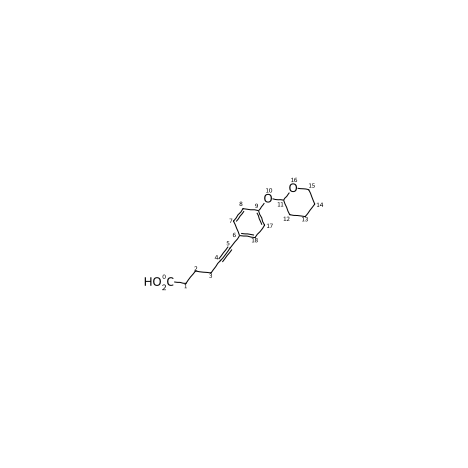 O=C(O)CCCC#Cc1ccc(OC2CCCCO2)cc1